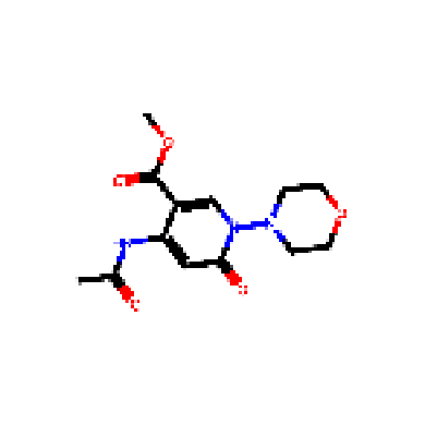 COC(=O)c1cn(N2CCOCC2)c(=O)cc1NC(C)=O